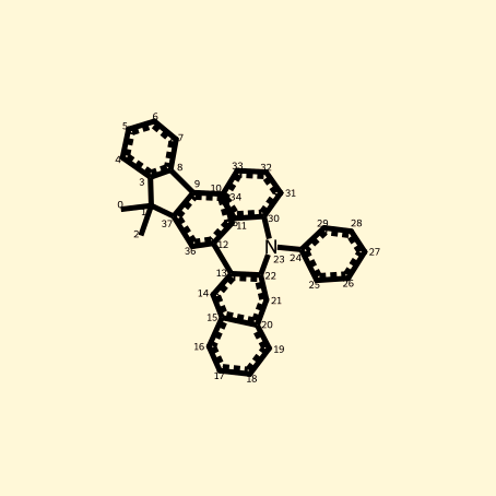 CC1(C)c2ccccc2-c2ccc(-c3cc4ccccc4cc3N(c3ccccc3)c3ccccc3)cc21